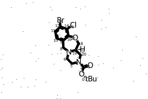 CC(C)(C)OC(=O)N1CCN2Cc3ccc(Br)c(Cl)c3OC[C@H]2C1